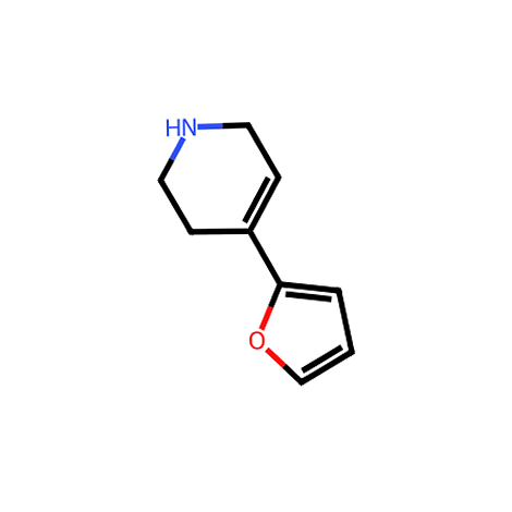 C1=C(c2ccco2)CCNC1